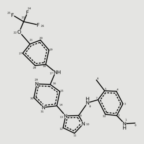 CNc1ccc(C)c(Nc2nccn2-c2cc(Nc3ccc(OC(F)(F)F)cc3)ncn2)c1